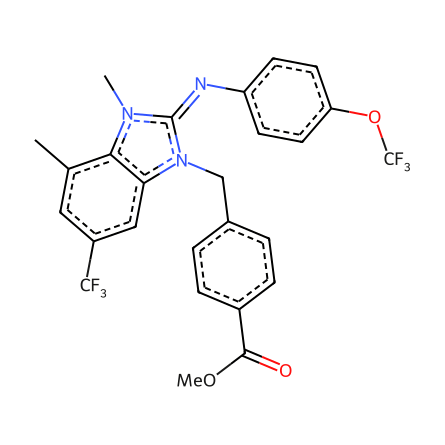 COC(=O)c1ccc(Cn2/c(=N\c3ccc(OC(F)(F)F)cc3)n(C)c3c(C)cc(C(F)(F)F)cc32)cc1